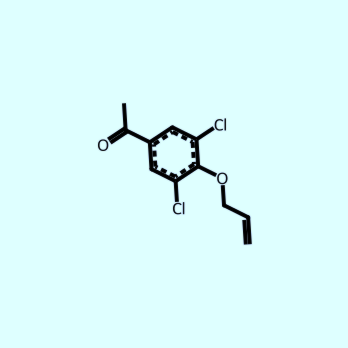 C=CCOc1c(Cl)cc(C(C)=O)cc1Cl